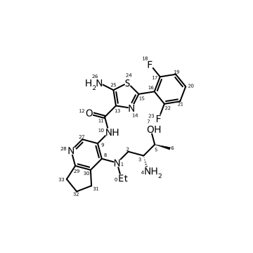 CCN(C[C@@H](N)[C@H](C)O)c1c(NC(=O)c2nc(-c3c(F)cccc3F)sc2N)cnc2c1CCC2